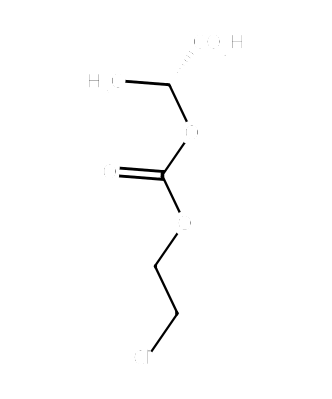 C[C@@H](OC(=O)OCCCl)C(=O)O